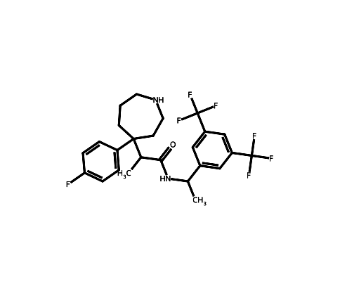 CC(NC(=O)C(C)C1(c2ccc(F)cc2)CCCNCC1)c1cc(C(F)(F)F)cc(C(F)(F)F)c1